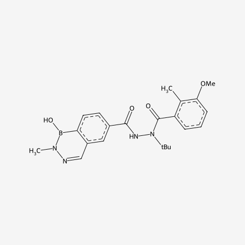 COc1cccc(C(=O)N(NC(=O)c2ccc3c(c2)C=NN(C)B3O)C(C)(C)C)c1C